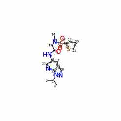 CC(C)n1ncc2cc(NC(=O)CN(C)S(=O)(=O)c3cccs3)cnc21